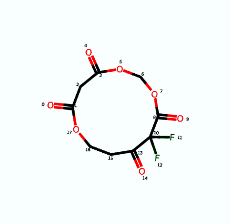 O=C1CC(=O)OCOC(=O)C(F)(F)C(=O)CCO1